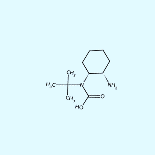 CC(C)(C)N(C(=O)O)[C@@H]1CCCC[C@@H]1N